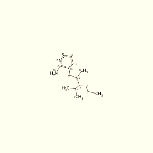 CCC[C@H](C(C)C)N(C)Cc1cccnc1N